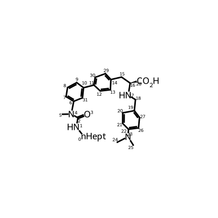 CCCCCCCNC(=O)N(C)c1cccc(-c2ccc(C[C@H](NCc3ccc(N(C)C)cc3)C(=O)O)cc2)c1